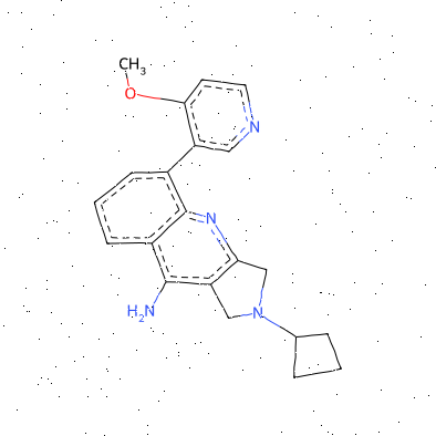 COc1ccncc1-c1cccc2c(N)c3c(nc12)CN(C1CCC1)C3